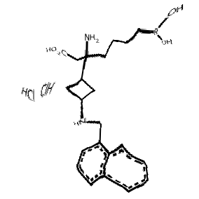 Cl.Cl.NC(CCCCB(O)O)(C(=O)O)C1CC(NCc2cccc3ccccc23)C1